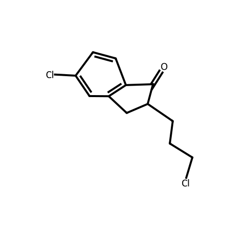 O=C1c2ccc(Cl)cc2CC1CCCCl